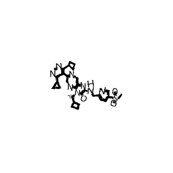 CCS(=O)(=O)c1ccc(CNc2nc3c(n([C@@H](C)C4CCC4)c2=O)=NCC(c2c(C4CCC4)ncnc2C2CC2)=NC=3)nc1